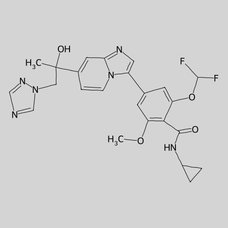 COc1cc(-c2cnc3cc(C(C)(O)Cn4cncn4)ccn23)cc(OC(F)F)c1C(=O)NC1CC1